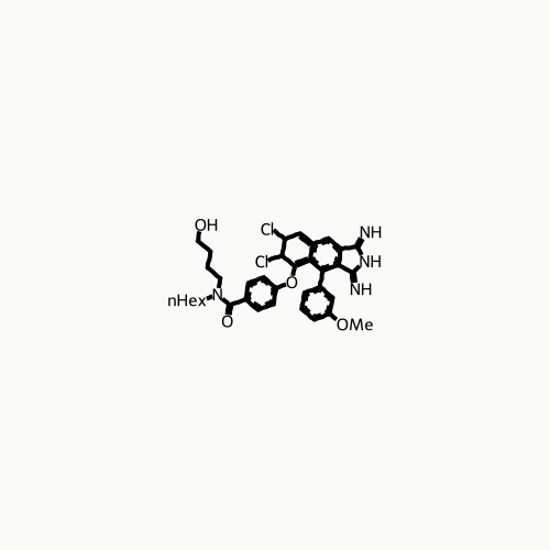 CCCCCCN(CCCCO)C(=O)c1ccc(OC2=c3c(-c4cccc(OC)c4)c4c(cc3=CC(Cl)C2Cl)C(=N)NC4=N)cc1